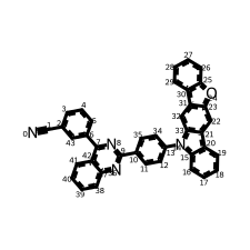 N#Cc1cccc(-c2nc(-c3ccc(-n4c5ccccc5c5cc6oc7ccccc7c6cc54)cc3)nc3ccccc23)c1